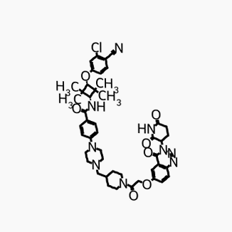 CC1(C)[C@H](NC(=O)c2ccc(N3CCN(CC4CCN(C(=O)COc5ccc6nnn(C7CCC(=O)NC7=O)c(=O)c6c5)CC4)CC3)cc2)C(C)(C)[C@H]1Oc1ccc(C#N)c(Cl)c1